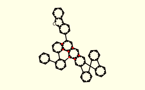 c1ccc(-c2ccccc2-c2c(-c3ccccc3)cccc2N(c2ccc(-c3ccc4c(c3)oc3ccccc34)cc2)c2ccc3c(c2)-c2ccccc2C32c3ccccc3-c3ccccc32)cc1